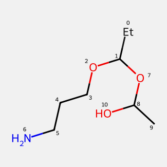 CCC(OCCCN)OC(C)O